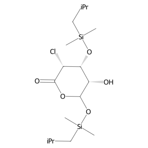 CC(C)C[Si](C)(C)OC1OC(=O)[C@H](Cl)[C@H](O[Si](C)(C)CC(C)C)[C@@H]1O